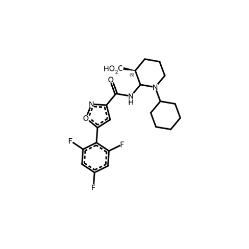 O=C(NC1[C@@H](C(=O)O)CCCN1C1CCCCC1)c1cc(-c2c(F)cc(F)cc2F)on1